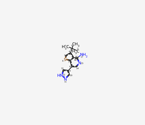 CC(C)(C)c1csc2c(-c3cn[nH]c3)cnc(N)c12